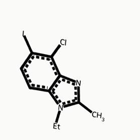 CCn1c(C)nc2c(Cl)c(I)ccc21